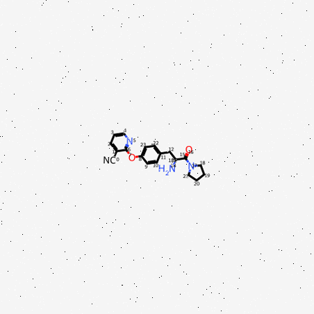 N#Cc1cccnc1Oc1ccc(C[C@H](N)C(=O)N2CCCC2)cc1